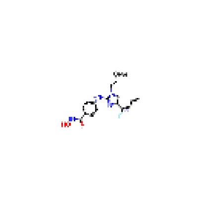 C=C/C=C(/F)c1cn(CCOC)c(Nc2ccc(C(=O)NO)cc2)n1